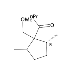 CCCC(=O)C1(COC)C(C)CC[C@H]1C